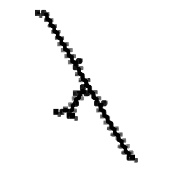 CCCCCCCCCCCCCCCCCC(=O)OCCCCCC(CCCCCOC(=O)CCCCCCCCCCCCCCCCC)OC(=O)NCCOCCN(C)CC